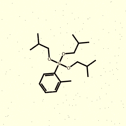 Cc1ccccc1[Si](OCC(C)C)(OCC(C)C)OCC(C)C